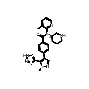 Cc1cccnc1N(C(=O)c1ccc(-c2cnn(C)c2-c2nn[nH]n2)cc1)[C@@H]1CCCNC1